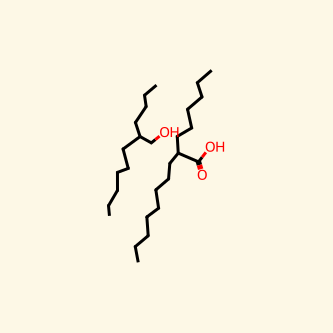 CCCCCCC(CO)CCCC.CCCCCCCCC(CCCCCC)C(=O)O